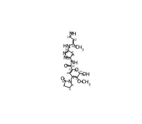 COC1=C(N2CCCC2=O)C=C(C(=O)Nc2nnc(N/C(C)=C\C=N)s2)OC1O